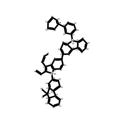 C=Cc1c(/C=C\C)c2cc(-c3ccc4c(c3)c3ccccc3n4-c3cccc(-c4ccccc4)c3)ccc2n1-c1ccc2c(c1)C(C)(C)c1ccccc1-2